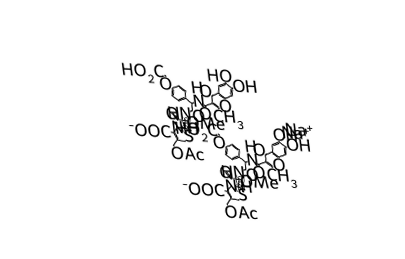 CO[C@@]1(NC(=O)C(NC(=O)c2c(C)oc3cc(O)c(O)cc3c2=O)c2ccc(OCC(=O)O)cc2)C(=O)N2C(C(=O)[O-])=C(COC(C)=O)CS[C@@H]21.CO[C@@]1(NC(=O)C(NC(=O)c2c(C)oc3cc(O)c(O)cc3c2=O)c2ccc(OCC(=O)O)cc2)C(=O)N2C(C(=O)[O-])=C(COC(C)=O)CS[C@@H]21.[Na+].[Na+]